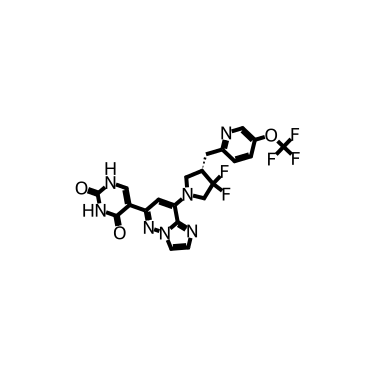 O=c1[nH]cc(-c2cc(N3C[C@H](Cc4ccc(OC(F)(F)F)cn4)C(F)(F)C3)c3nccn3n2)c(=O)[nH]1